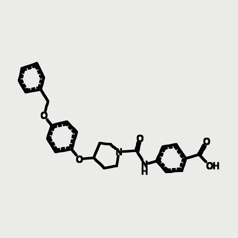 O=C(O)c1ccc(NC(=O)N2CCC(Oc3ccc(OCc4ccccc4)cc3)CC2)cc1